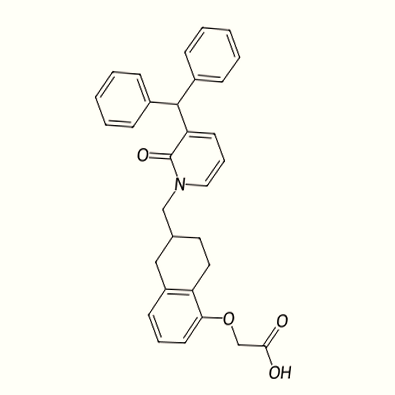 O=C(O)COc1cccc2c1CCC(Cn1cccc(C(c3ccccc3)c3ccccc3)c1=O)C2